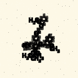 COc1ccccc1COCCCOc1ccc([C@H]2[C@@H](Cn3ccnc3)CN(C(=O)OC(C)(C)C)C[C@@H]2OCc2cc(OC)c3ccccc3c2)cc1